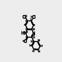 O=c1[nH]c2cc(Cl)c(Cl)cc2nc1-c1ccccc1